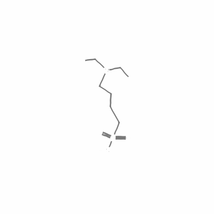 CCN(CC)CCCCS(N)(=O)=O